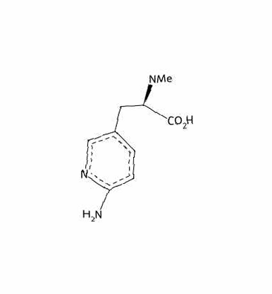 CN[C@H](Cc1ccc(N)nc1)C(=O)O